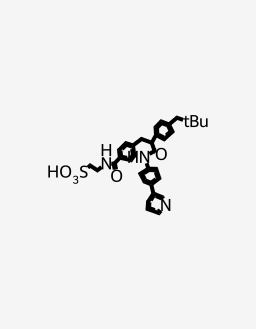 CC(C)(C)Cc1ccc(C(Cc2ccc(C(=O)NCCS(=O)(=O)O)cc2)C(=O)Nc2ccc(-c3cccnc3)cc2)cc1